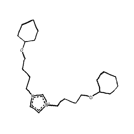 c1c[n+](CCCCOC2CCCCC2)cn1CCCCOC1CCCCC1